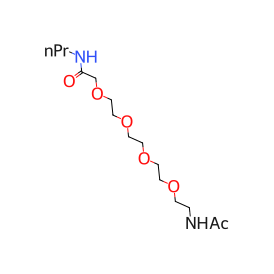 CCCNC(=O)COCCOCCOCCOCCNC(C)=O